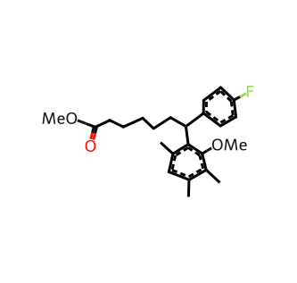 COC(=O)CCCCCC(c1ccc(F)cc1)c1c(C)cc(C)c(C)c1OC